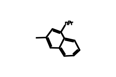 CCCc1cc(C)cc2ccccc12